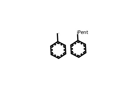 CCCC(C)c1ccccc1.[CH2]c1ccccc1